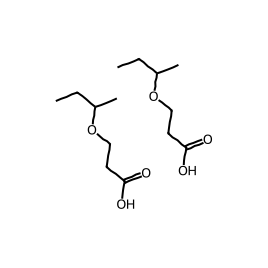 CCC(C)OCCC(=O)O.CCC(C)OCCC(=O)O